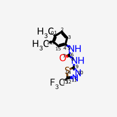 Cc1ccc(NC(=O)Nc2nnc(C(F)(F)F)s2)cc1C